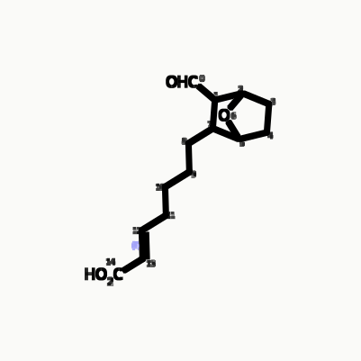 O=CC1C2CCC(O2)C1CCCC/C=C/C(=O)O